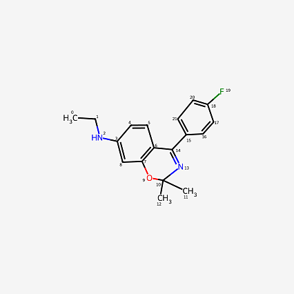 CCNc1ccc2c(c1)OC(C)(C)N=C2c1ccc(F)cc1